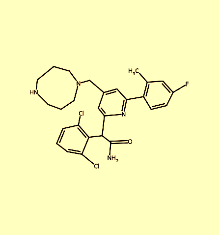 Cc1cc(F)ccc1-c1cc(CN2CCCNCCC2)cc(C(C(N)=O)c2c(Cl)cccc2Cl)n1